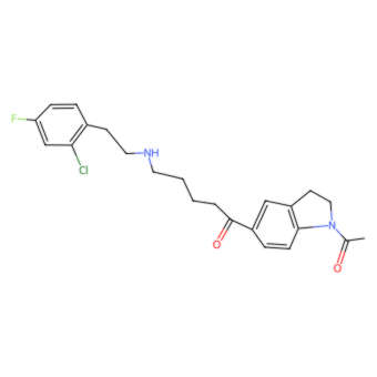 CC(=O)N1CCc2cc(C(=O)CCCCNCCc3ccc(F)cc3Cl)ccc21